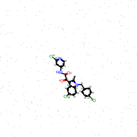 Cc1c(C(=O)C(=O)Nc2ccnc(Cl)c2)c2cc(Cl)ccc2n1Cc1ccc(Cl)cc1